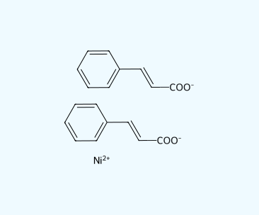 O=C([O-])C=Cc1ccccc1.O=C([O-])C=Cc1ccccc1.[Ni+2]